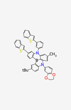 Cc1cc2c3c(c1)N(c1cccc(-c4cc5ccccc5s4)c1)c1cc(-c4cc5ccccc5s4)ccc1B3c1cc(C(C)(C)C)ccc1N2c1ccc2c(c1)OCCO2